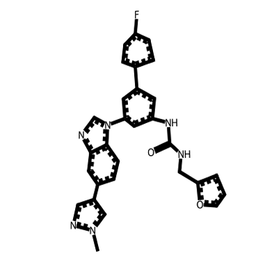 Cn1cc(-c2ccc3c(c2)ncn3-c2cc(NC(=O)NCc3ccco3)cc(-c3ccc(F)cc3)c2)cn1